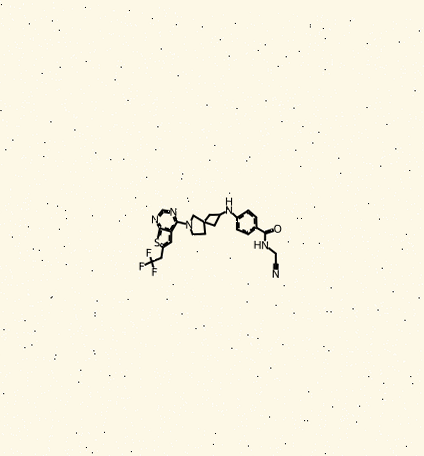 N#CCNC(=O)c1ccc(NC2CC3(CCN(c4ncnc5sc(CC(F)(F)F)cc45)C3)C2)cc1